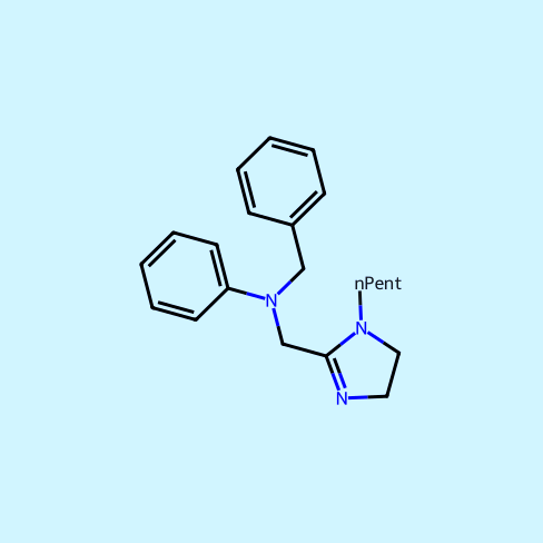 CCCCCN1CCN=C1CN(Cc1ccccc1)c1ccccc1